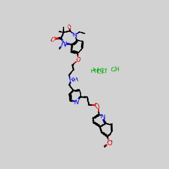 CCN1C(=O)C(C)(C)C(=O)N(C)c2cc(OCCCNCc3ccnc(CCOc4ccc5cc(OC)ccc5n4)c3)ccc21.Cl.Cl.Cl